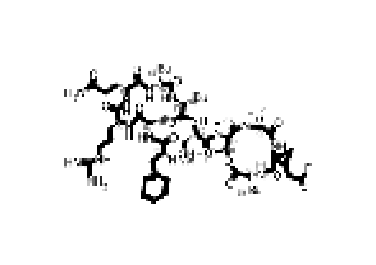 CC[C@H](C)[C@H](NC(=O)[C@@H](Cc1ccccc1)NC)C(=O)N[C@@H](CCCNC(=N)N)C(=O)N[C@H](CCC(N)=O)C(=O)N[C@@H](C(=O)N[C@H](C(=O)N[C@@H](CO)C(=O)N[C@H]1C(=O)N[C@@H](C)C(=O)NC2(CC2CC(F)F)C(=O)N[C@@H]([C@@H](C)CC)C(=O)O[C@H]1C)[C@@H](C)CC)[C@@H](C)CC